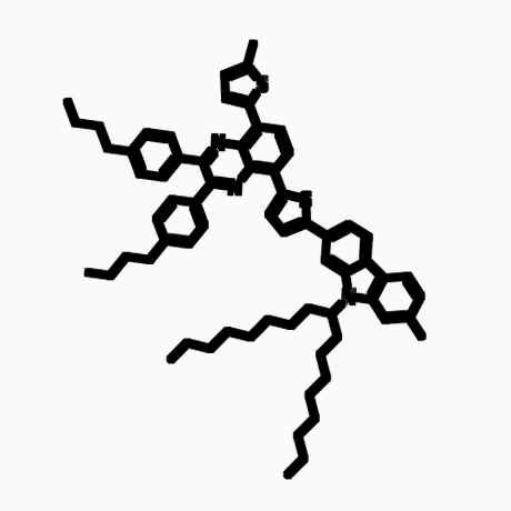 CCCCCCCCC(CCCCCCCC)n1c2cc(C)ccc2c2ccc(-c3ccc(-c4ccc(-c5ccc(C)s5)c5nc(-c6ccc(CCCC)cc6)c(-c6ccc(CCCC)cc6)nc45)s3)cc21